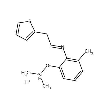 Cc1cccc(O[SiH](C)C)c1N=CCc1cccs1.[H+]